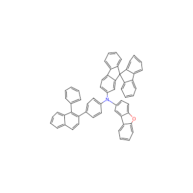 c1ccc(-c2c(-c3ccc(N(c4ccc5c(c4)C4(c6ccccc6-c6ccccc64)c4ccccc4-5)c4ccc5oc6ccccc6c5c4)cc3)ccc3ccccc23)cc1